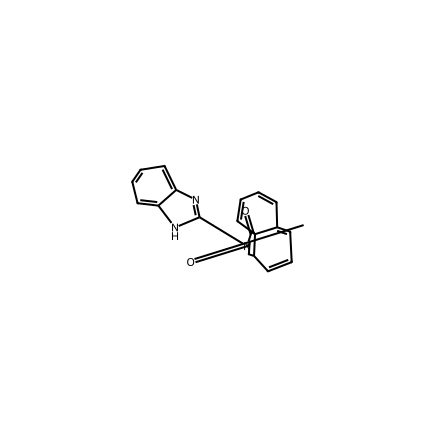 O=C1CC2C=CC=C3C=CC=CC32C(=O)N1c1nc2ccccc2[nH]1